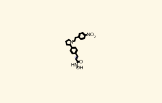 O=C(/C=C/c1ccc(C2CCCN2CCc2ccc([N+](=O)[O-])cc2)cc1)NO